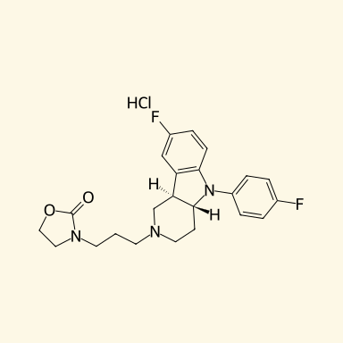 Cl.O=C1OCCN1CCCN1CC[C@@H]2[C@@H](C1)c1cc(F)ccc1N2c1ccc(F)cc1